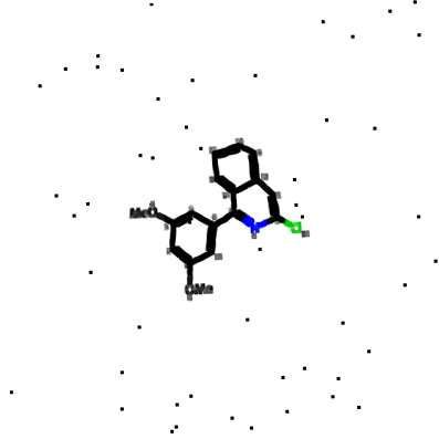 COc1cc(OC)cc(-c2nc(Cl)cc3ccccc23)c1